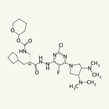 CN(C)C1CN(c2nc(Cl)nc(NNC(=O)[C@@H](CNC(=O)OC3CCCCO3)CC3CCCC3)c2F)CC1N(C)C